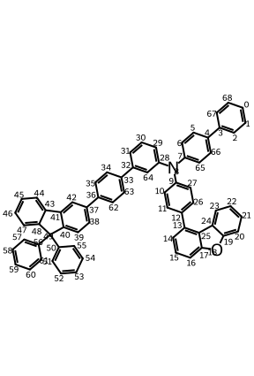 c1ccc(-c2ccc(N(c3ccc(-c4cccc5oc6ccccc6c45)cc3)c3cccc(-c4ccc(-c5ccc6c(c5)-c5ccccc5C6(c5ccccc5)c5ccccc5)cc4)c3)cc2)cc1